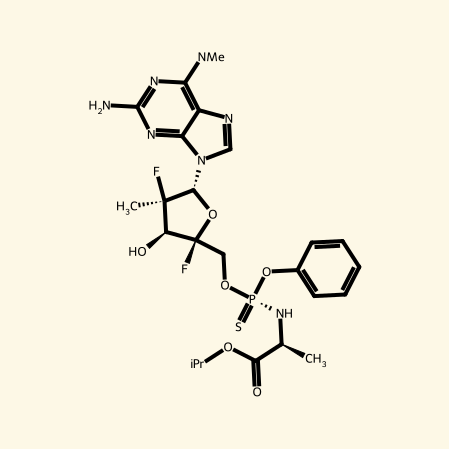 CNc1nc(N)nc2c1ncn2[C@@H]1O[C@](F)(CO[P@@](=S)(N[C@@H](C)C(=O)OC(C)C)Oc2ccccc2)[C@@H](O)[C@@]1(C)F